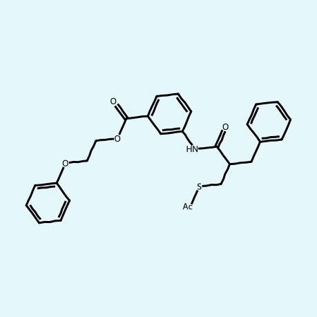 CC(=O)SCC(Cc1ccccc1)C(=O)Nc1cccc(C(=O)OCCOc2ccccc2)c1